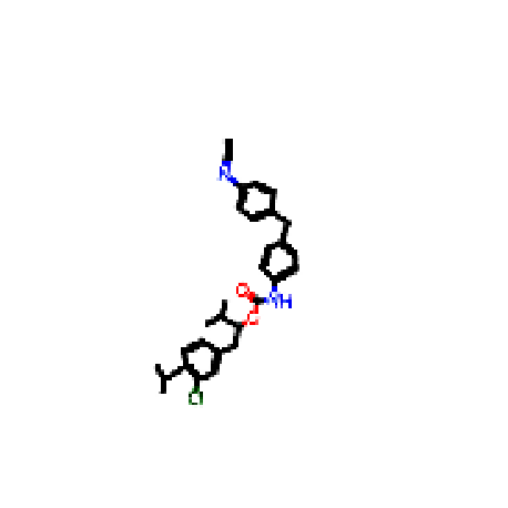 C=C=Nc1ccc(Cc2ccc(NC(=O)OC(Cc3ccc(C(C)C)c(Cl)c3)C(C)C)cc2)cc1